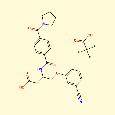 N#Cc1cccc(OCC(CC(=O)O)NC(=O)c2ccc(C(=O)N3CCCC3)cc2)c1.O=C(O)C(F)(F)F